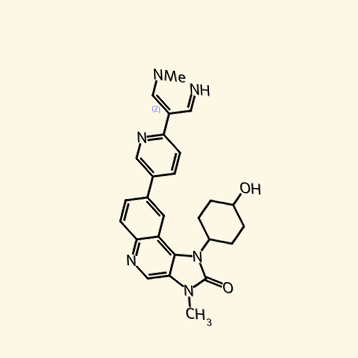 CN/C=C(\C=N)c1ccc(-c2ccc3ncc4c(c3c2)n(C2CCC(O)CC2)c(=O)n4C)cn1